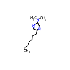 CCCCCCCc1cnc(N(C)C)cn1